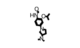 CC(C)Oc1cc(N2CCC(N(C)C)C2)ccc1NC=O